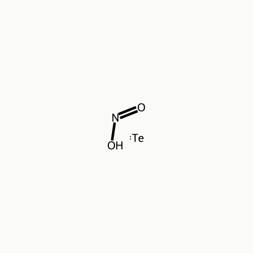 O=NO.[Te]